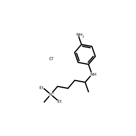 CC[N+](C)(CC)CCCC(C)Nc1ccc(N)cc1.[Cl-]